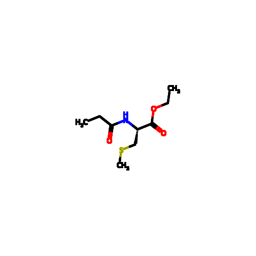 CCOC(=O)[C@H](CSC)NC(=O)CC